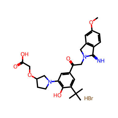 Br.COc1ccc2c(c1)CN(CC(=O)c1cc(N3CCC(OCC(=O)O)C3)c(O)c(C(C)(C)C)c1)C2=N